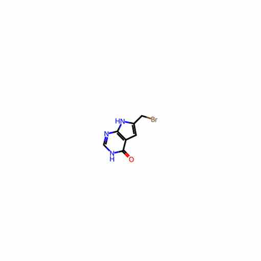 O=c1[nH]cnc2[nH]c(CBr)cc12